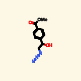 COC(=O)c1ccc(C(O)CN=[N+]=[N-])cc1